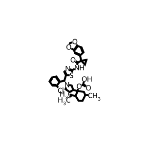 CC1CCC(C(C)C)C(OC(=O)O)(C2CCN([C@@H](c3cnc(NC(=O)C4(c5ccc6c(c5)OCO6)CC4)s3)c3ccccc3Cl)C2)C1